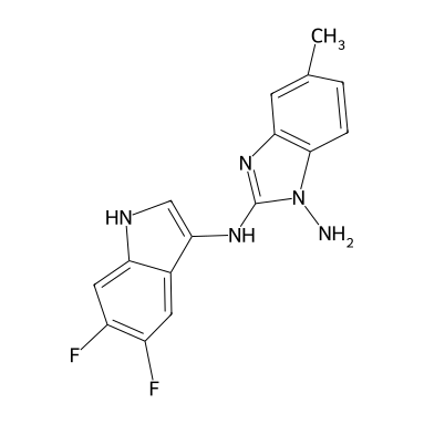 Cc1ccc2c(c1)nc(Nc1c[nH]c3cc(F)c(F)cc13)n2N